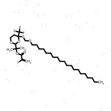 C=C(F)C(=O)OC(C)(C)C1OCCC(OCOCCCCCCCCCCCCCCCCCCCC)(C(F)(F)F)O1